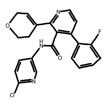 O=C(Nc1ccc(Cl)nc1)c1c(-c2ccccc2F)ccnc1C1=CCOCC1